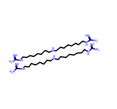 N=C(N)NCCCCCCCCNCCCCCCCCNC(=N)N.N=C(N)NCCCCCCCCNCCCCCCCCNC(=N)N